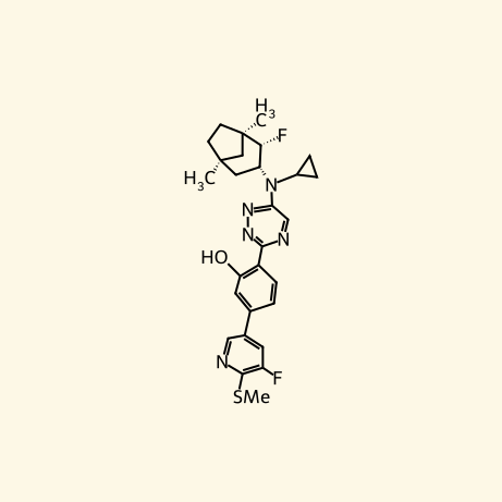 CSc1ncc(-c2ccc(-c3ncc(N(C4CC4)[C@@H]4C[C@@]5(C)CC[C@](C)(C5)[C@@H]4F)nn3)c(O)c2)cc1F